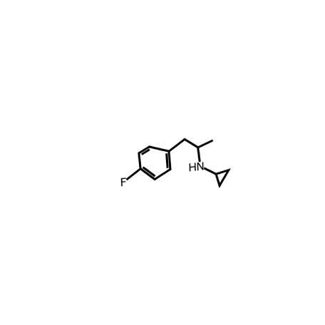 CC(Cc1ccc(F)cc1)NC1CC1